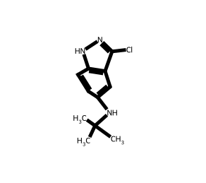 CC(C)(C)Nc1ccc2[nH]nc(Cl)c2c1